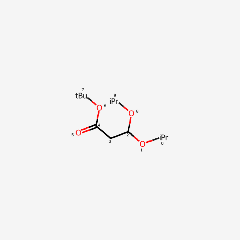 CC(C)OC(CC(=O)OC(C)(C)C)OC(C)C